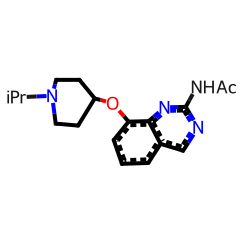 CC(=O)Nc1ncc2cccc(OC3CCN(C(C)C)CC3)c2n1